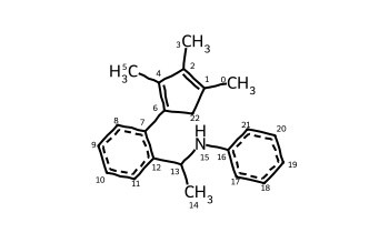 CC1=C(C)C(C)=C(c2ccccc2C(C)Nc2ccccc2)C1